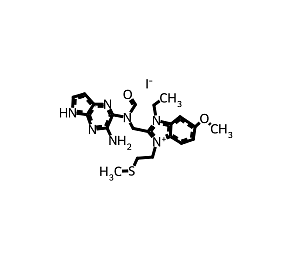 CCn1c(CN(C=O)c2nc3cc[nH]c3nc2N)[n+](CCSC)c2ccc(OC)cc21.[I-]